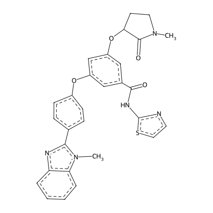 CN1CCC(Oc2cc(Oc3ccc(-c4nc5ccccc5n4C)cc3)cc(C(=O)Nc3nccs3)c2)C1=O